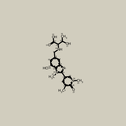 Cc1cc(-c2nc3cc(CNC(C(=O)O)C(C)O)ccc3n2C)cn(C)c1=O.Cl